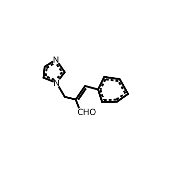 O=C/C(=C\c1ccccc1)Cn1ccnc1